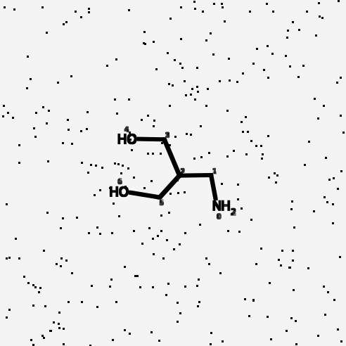 NCC(CO)CO